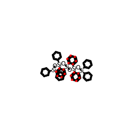 c1ccc([Si](O[Si](O[Si](O[Si](O[Si](c2ccccc2)(c2ccccc2)c2ccccc2)(c2ccccc2)c2ccccc2)(c2ccccc2)c2ccccc2)(c2ccccc2)c2ccccc2)c2ccccc2)cc1